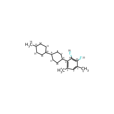 Cc1cc(C)c(C2CCC(C3CCC(C)CC3)CC2)c(F)c1F